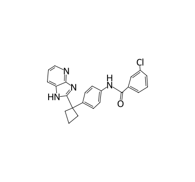 O=C(Nc1ccc(C2(c3nc4ncccc4[nH]3)CCC2)cc1)c1cccc(Cl)c1